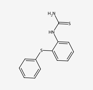 NC(=S)Nc1ccccc1Sc1ccccc1